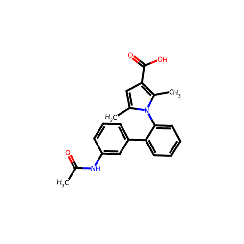 CC(=O)Nc1cccc(-c2ccccc2-n2c(C)cc(C(=O)O)c2C)c1